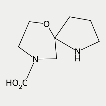 O=C(O)N1CCOC2(CCCN2)C1